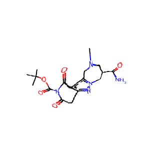 CN1Cc2c3c(nn2CC(C(N)=O)C1)CC(=O)N(C(=O)OC(C)(C)C)C3=O